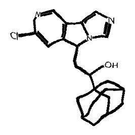 OC(CC1c2cc(Cl)ncc2-c2cncn21)C12CC3CC(CC(C3)C1)C2